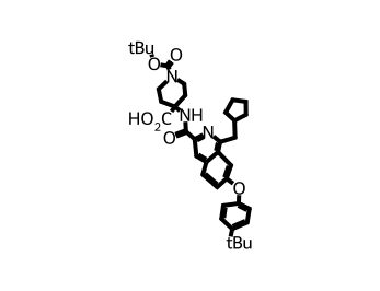 CC(C)(C)OC(=O)N1CCC(NC(=O)c2cc3ccc(Oc4ccc(C(C)(C)C)cc4)cc3c(CC3CCCC3)n2)(C(=O)O)CC1